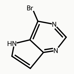 Brc1ncnc2cc[nH]c12